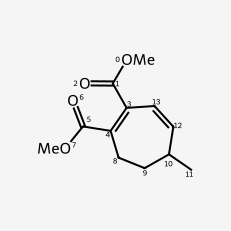 COC(=O)C1=C(C(=O)OC)CCC(C)C=C1